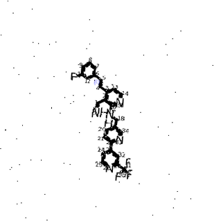 N=Cc1c(/C=C/c2cccc(F)c2)ccnc1NCc1ccc(-c2ccnc(C(F)(F)F)c2)nc1